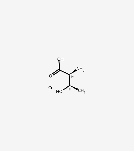 C[C@@H](O)[C@H](N)C(=O)O.[Cr]